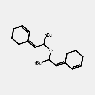 CCCCC(C=C1C=CCCC1)OC(C=C1C=CCCC1)CCCC